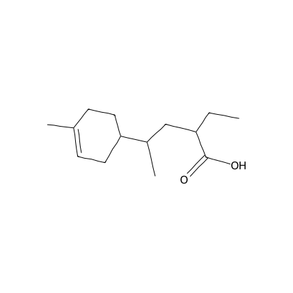 CCC(CC(C)C1CC=C(C)CC1)C(=O)O